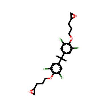 CC(C)(c1cc(Cl)c(OCCCC2CO2)c(Cl)c1)c1cc(Cl)c(OCCCC2CO2)c(Cl)c1